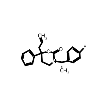 C=CCC1(c2ccccc2)CCN([C@@H](C)c2ccc(F)cc2)C(=O)O1